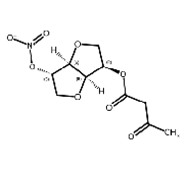 CC(=O)CC(=O)O[C@@H]1CO[C@H]2[C@@H]1OC[C@@H]2O[N+](=O)[O-]